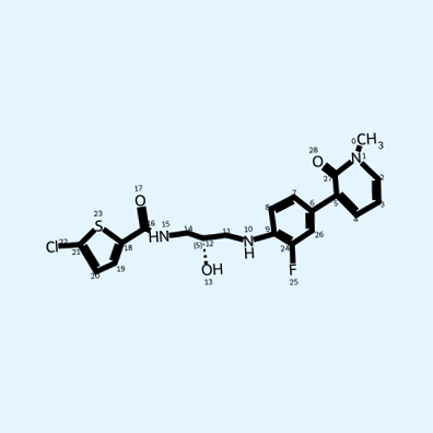 Cn1cccc(-c2ccc(NC[C@H](O)CNC(=O)c3ccc(Cl)s3)c(F)c2)c1=O